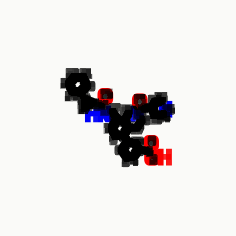 O=C(O)c1cccc(-c2ccc(CNC(=O)[C@@H]3C[C@H]3c3ccccc3)c3c2CCN(C(=O)c2ccncc2)C3)c1